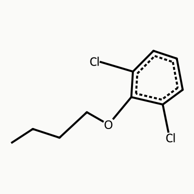 CCCCOc1c(Cl)cccc1Cl